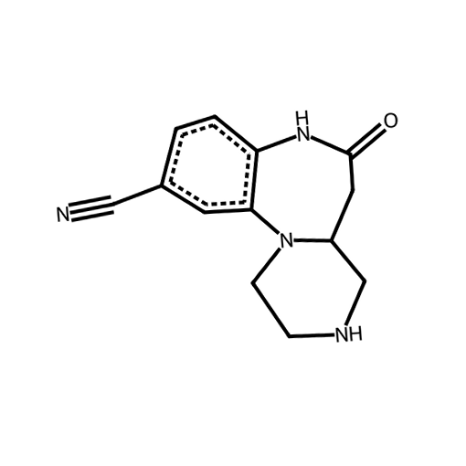 N#Cc1ccc2c(c1)N1CCNCC1CC(=O)N2